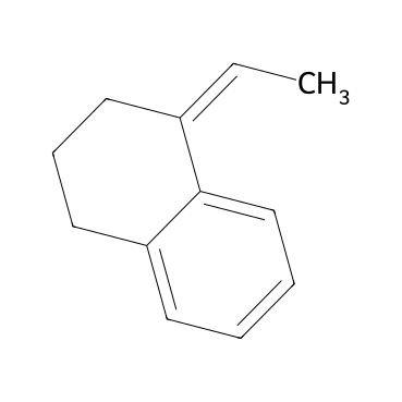 C/C=C1/CCCc2ccccc21